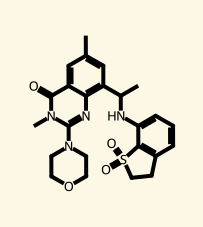 Cc1cc(C(C)Nc2cccc3c2S(=O)(=O)CC3)c2nc(N3CCOCC3)n(C)c(=O)c2c1